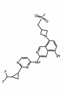 CC(C)c1ccc(N2CC(CS(C)(=O)=O)C2)c2cnc(Nc3ccnc(C4CC4C(F)F)n3)cc12